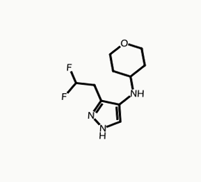 FC(F)Cc1n[nH]cc1NC1CCOCC1